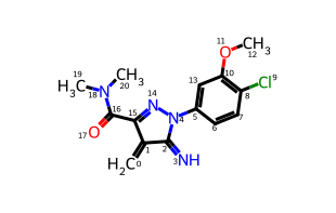 C=C1C(=N)N(c2ccc(Cl)c(OC)c2)N=C1C(=O)N(C)C